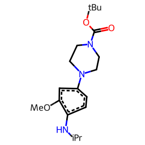 COc1cc(N2CCN(C(=O)OC(C)(C)C)CC2)ccc1NC(C)C